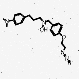 CN(C)c1ccc(CCCN(O)Cc2ccc(OCCN=[N+]=[N-])cc2)cc1